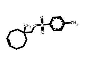 Cc1ccc(S(=O)(=O)OCC2(C)CC/C=C\CCC2)cc1